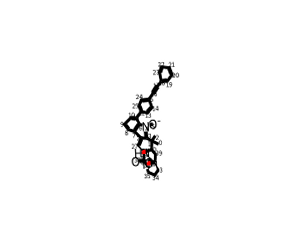 CC1(C)C2=[N+]([O-])c3c(cccc3-c3ccc(C#Cc4ccccc4)cc3)C2=C[C@@]23NC(=O)[C@]4(CCCN4C2=O)CC13